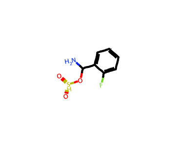 NC(O[SH](=O)=O)c1c[c]ccc1F